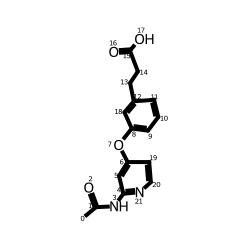 CC(=O)Nc1cc(Oc2cccc(CCC(=O)O)c2)ccn1